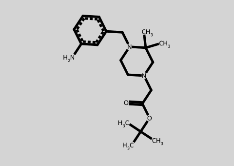 CC(C)(C)OC(=O)CN1CCN(Cc2cccc(N)c2)C(C)(C)C1